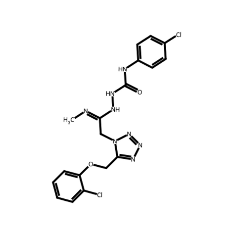 C/N=C(\Cn1nnnc1COc1ccccc1Cl)NNC(=O)Nc1ccc(Cl)cc1